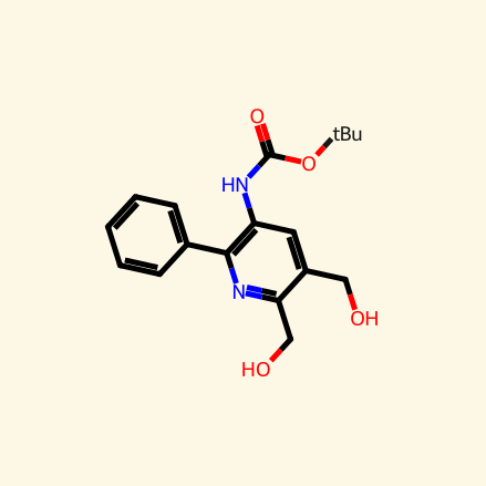 CC(C)(C)OC(=O)Nc1cc(CO)c(CO)nc1-c1ccccc1